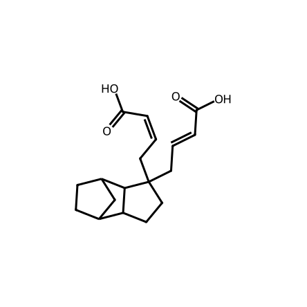 O=C(O)C=CCC1(CC=CC(=O)O)CCC2C3CCC(C3)C21